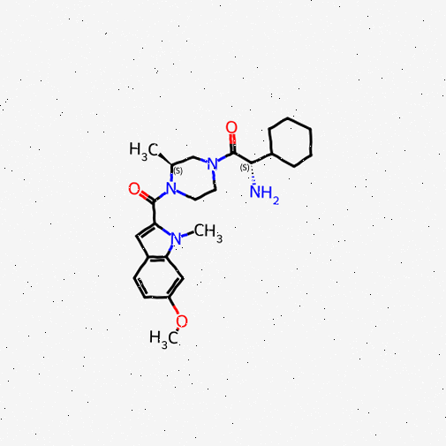 COc1ccc2cc(C(=O)N3CCN(C(=O)[C@@H](N)C4CCCCC4)C[C@@H]3C)n(C)c2c1